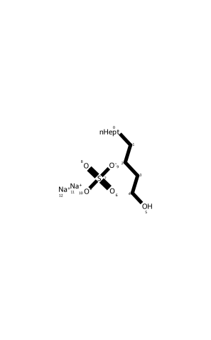 CCCCCCCCCCCO.O=S(=O)([O-])[O-].[Na+].[Na+]